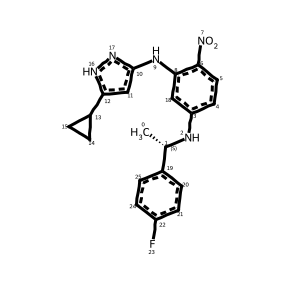 C[C@H](Nc1ccc([N+](=O)[O-])c(Nc2cc(C3CC3)[nH]n2)c1)c1ccc(F)cc1